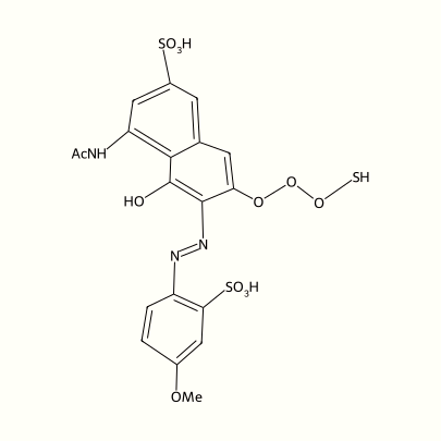 COc1ccc(N=Nc2c(OOOS)cc3cc(S(=O)(=O)O)cc(NC(C)=O)c3c2O)c(S(=O)(=O)O)c1